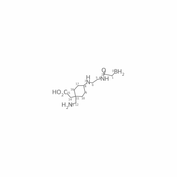 BCC(=O)NCCNC1CCC(CN)(CC(=O)O)CC1